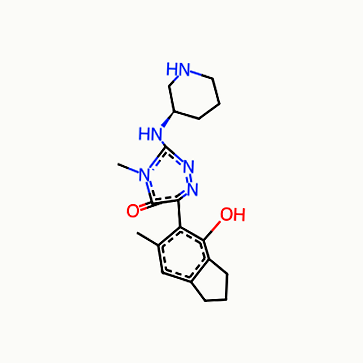 Cc1cc2c(c(O)c1-c1nnc(N[C@@H]3CCCNC3)n(C)c1=O)CCC2